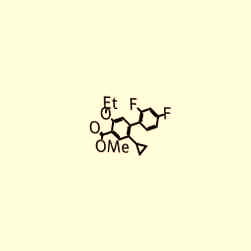 CCOc1cc(-c2ccc(F)cc2F)c(C2CC2)cc1C(=O)OC